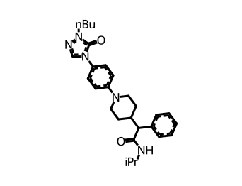 CCCCn1ncn(-c2ccc(N3CCC(C(C(=O)NC(C)C)c4ccccc4)CC3)cc2)c1=O